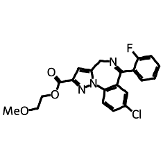 COCCOC(=O)c1cc2n(n1)-c1ccc(Cl)cc1C(c1ccccc1F)=NC2